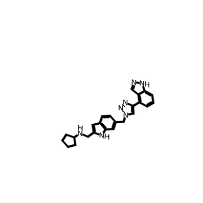 c1cc(-c2cn(Cc3ccc4cc(CNC5CCCC5)[nH]c4c3)nn2)c2cn[nH]c2c1